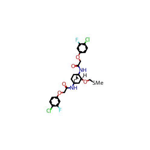 CSCO[C@H]1CC2(NC(=O)COc3ccc(Cl)c(F)c3)CCC1(NC(=O)COc1ccc(Cl)c(F)c1)CC2